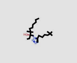 CCCCCCC(C)(C)[C@@](O)(CC)Cn1nncc1CCCCC(C)(C)C